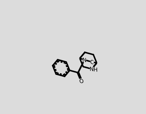 O=C(c1ccccc1)N1CC2CCC1CN2